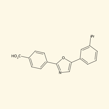 CC(C)c1cccc(-c2cnc(-c3ccc(C(=O)O)cc3)o2)c1